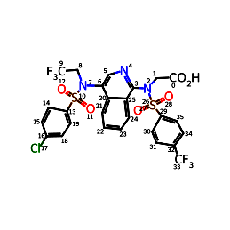 O=C(O)CN(c1ncc(N(CC(F)(F)F)S(=O)(=O)c2ccc(Cl)cc2)c2ccccc12)S(=O)(=O)c1ccc(C(F)(F)F)cc1